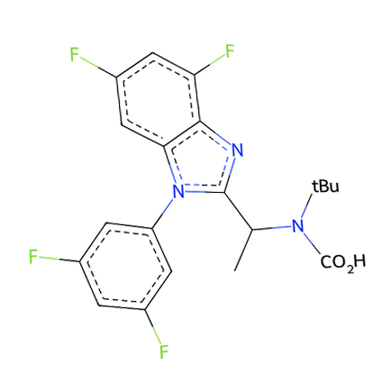 CC(c1nc2c(F)cc(F)cc2n1-c1cc(F)cc(F)c1)N(C(=O)O)C(C)(C)C